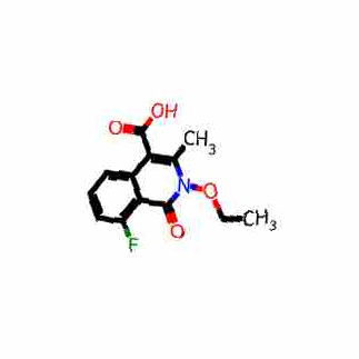 CCOn1c(C)c(C(=O)O)c2cccc(F)c2c1=O